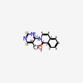 O=c1c2ccccc2ccn1-c1ncncc1C(F)(F)F